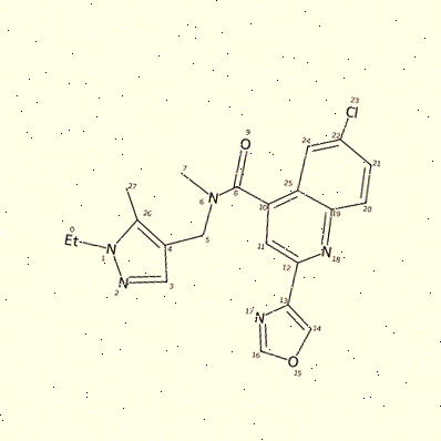 CCn1ncc(CN(C)C(=O)c2cc(-c3cocn3)nc3ccc(Cl)cc23)c1C